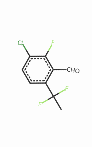 CC(F)(F)c1ccc(Cl)c(F)c1C=O